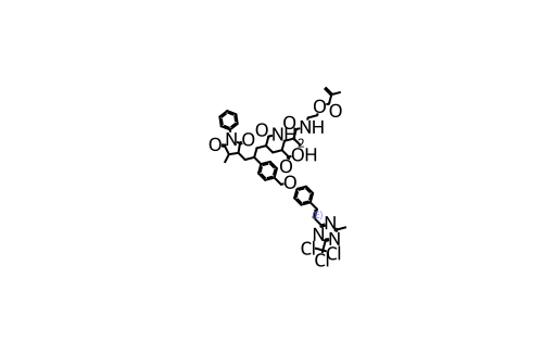 C=C(C)C(=O)OCCNC(=O)C(C)CC(CC(CC(CC1C(=O)N(c2ccccc2)C(=O)C1C)c1ccc(COc2ccc(/C=C/c3nc(C)nc(C(Cl)(Cl)Cl)n3)cc2)cc1)C(N)=O)C(=O)O